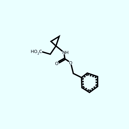 O=C(O)CC1(NC(=O)OCc2ccccc2)CC1